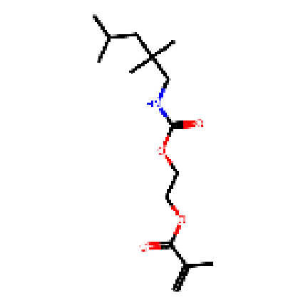 C=C(C)C(=O)OCCOC(=O)NCC(C)(C)CC(C)C